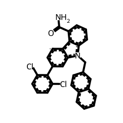 NC(=O)c1cccc2c1c1[c]cc(-c3c(Cl)cccc3Cl)cc1n2Cc1ccc2ccccc2c1